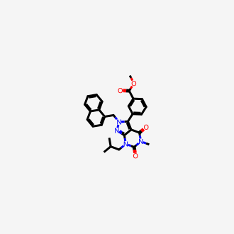 COC(=O)c1cccc(-c2c3c(=O)n(C)c(=O)n(CC(C)C)c3nn2Cc2cccc3ccccc23)c1